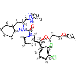 CNC[C@H](CC1CCCCC1)NC(=O)N1CCC[C@@H]([C@@H](OCCCOC)c2cccc(Cl)c2Cl)C1